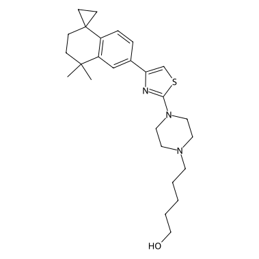 CC1(C)CCC2(CC2)c2ccc(-c3csc(N4CCN(CCCCCO)CC4)n3)cc21